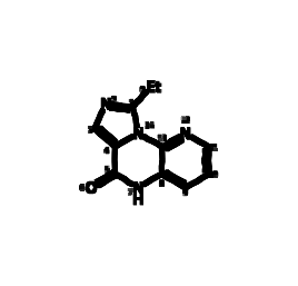 CCc1ncc2c(=O)[nH]c3cccnc3n12